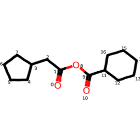 O=C(CC1CCCC1)OC(=O)C1CCCCC1